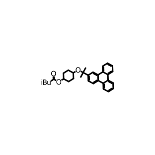 CCC(C)C(=O)OC1CCC(OC(C)(C)c2ccc3c4ccccc4c4ccccc4c3c2)CC1